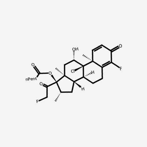 CCCCCC(=O)O[C@]1(C(=O)CF)[C@@H](C)C[C@H]2[C@@H]3CCC4=C(F)C(=O)C=C[C@]4(C)[C@@]3(Cl)[C@@H](O)C[C@@]21C